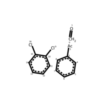 C=O.CC(=O)c1ccccc1.Clc1ccccc1Cl